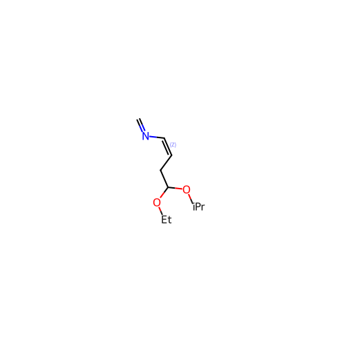 C=N/C=C\CC(OCC)OC(C)C